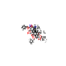 COC(OC)c1cc(OCc2ccccc2)c2c(c1OC(C)C)C[C@H]1C[C@@H]3C(C(=O)c4c(OCc5ccccc5)noc4[C@H]3N(C)C)C(O)=C1C2=O